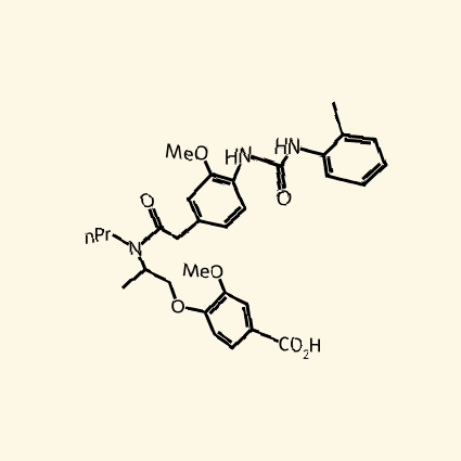 CCCN(C(=O)Cc1ccc(NC(=O)Nc2ccccc2C)c(OC)c1)C(C)COc1ccc(C(=O)O)cc1OC